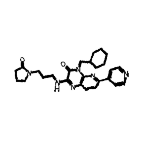 O=C1CCCN1CCCNc1nc2ccc(-c3ccncc3)nc2n(CC2CCCCC2)c1=O